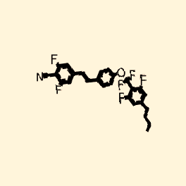 CCCCc1cc(F)c(C(F)(F)Oc2ccc(CCc3cc(F)c(C#N)c(F)c3)cc2)c(F)c1